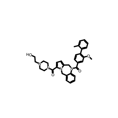 COc1cc(C(=O)N2Cc3ccc(C(=O)N4CCN(CCO)CC4)n3Cc3ccccc32)ccc1-c1ccccc1C